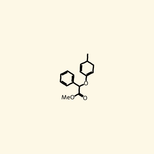 COC(=O)C(OC1=CCC(C)C=C1)c1ccccc1